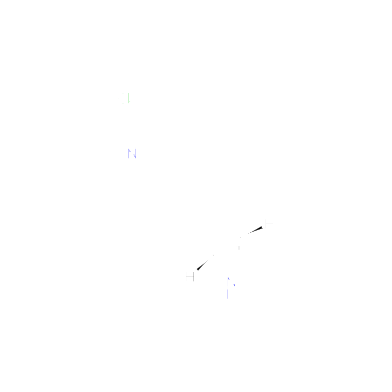 Clc1ccc(C2=C[C@H]3NC[C@H]3C2)cn1